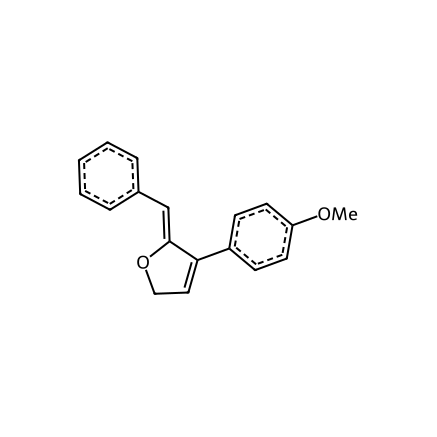 COc1ccc(C2=CCOC2=Cc2ccccc2)cc1